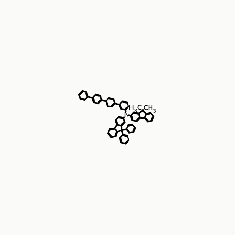 CC1(C)c2ccccc2-c2ccc(N(c3cccc(-c4ccc(-c5ccc(-c6ccccc6)cc5)cc4)c3)c3ccc4c(c3)C(c3ccccc3)(c3ccccc3)c3ccccc3-4)cc21